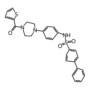 O=C(c1cccs1)N1CCN(c2ccc(NS(=O)(=O)c3ccc(-c4ccccc4)cc3)cc2)CC1